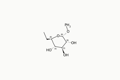 CC[C@H]1O[C@H](OP)[C@H](O)[C@@H](O)[C@@H]1O